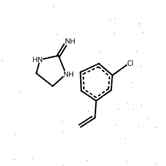 C=Cc1cccc(Cl)c1.N=C1NCCN1